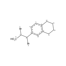 O=C(O)C(Br)C(Br)c1ccc2c(c1)CCCC2